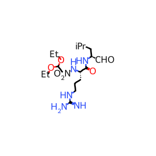 CC(C)C[C@@H](C=O)NC(=O)[C@H](CCCNC(=N)N)N[N+](=O)[O-].CCOC(C)OCC